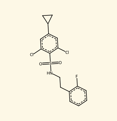 O=S(=O)(NCCc1ccccc1F)c1c(Cl)cc(C2CC2)cc1Cl